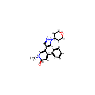 Cn1cc(-c2cnn(C3CCOCC3)c2)c(-c2ccccc2)cc1=O